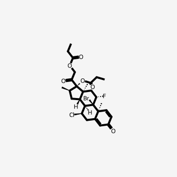 CCC(=O)OCC(=O)[C@]1(OC(=O)CC)[C@H](C)C[C@H]2[C@@H]3[C@H](Cl)CC4=CC(=O)C=C[C@]4(C)[C@@]3(Br)[C@@H](F)C[C@@]21C